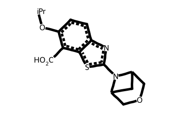 CC(C)Oc1ccc2nc(N3C4COCC3C4)sc2c1C(=O)O